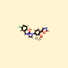 COc1cc(N2CCN(Cc3cccc(F)c3)C2=O)ccc1-c1cnco1